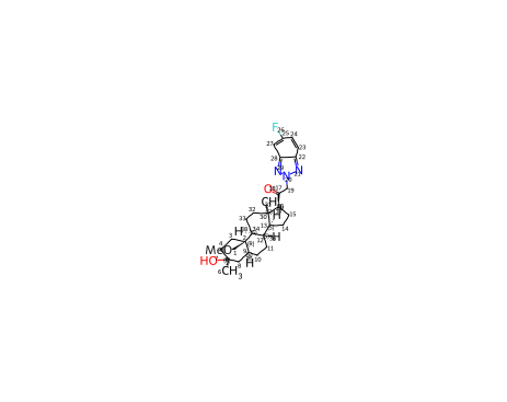 COC[C@]12CC[C@@](C)(O)C[C@@H]1CC[C@H]1[C@@H]3CC[C@H](C(=O)Cn4nc5ccc(F)cc5n4)[C@@]3(C)CC[C@@H]12